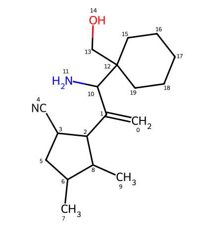 C=C(C1C(C#N)CC(C)C1C)C(N)C1(CO)CCCCC1